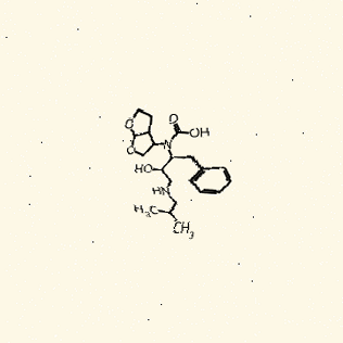 CC(C)CNC[C@@H](O)[C@H](Cc1ccccc1)N(C(=O)O)C1COC2OCCC21